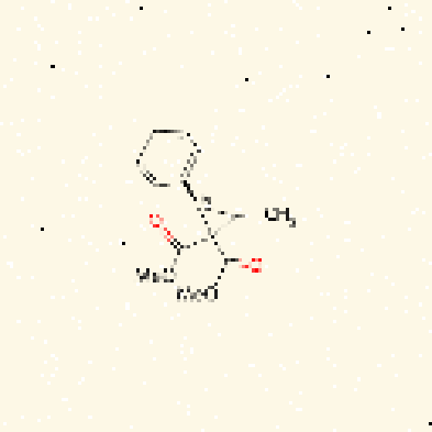 COC(=O)C1(C(=O)OC)C(C)[C@@H]1c1ccccc1